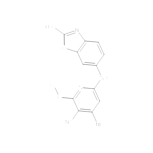 CCOc1nc(Nc2ccc3nc(C)oc3c2)cc(N)c1C#N